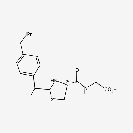 CC(C)Cc1ccc(C(C)C2N[C@H](C(=O)NCC(=O)O)CS2)cc1